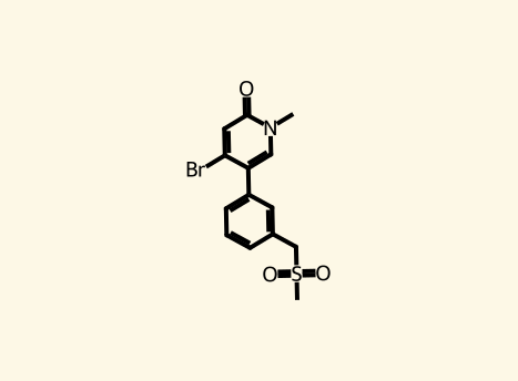 Cn1cc(-c2cccc(CS(C)(=O)=O)c2)c(Br)cc1=O